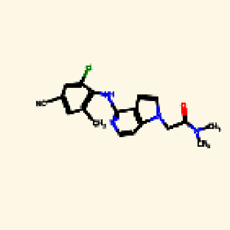 Cc1cc(C#N)cc(Cl)c1Nc1nccc2c1ccn2CC(=O)N(C)C